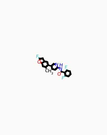 Cc1cc2oc(F)cc2cc1-c1ccc(NC(=O)c2c(F)cccc2F)nc1